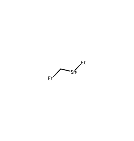 CC[CH2][Sn][CH2]C